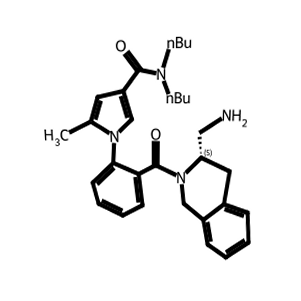 CCCCN(CCCC)C(=O)c1cc(C)n(-c2ccccc2C(=O)N2Cc3ccccc3C[C@H]2CN)c1